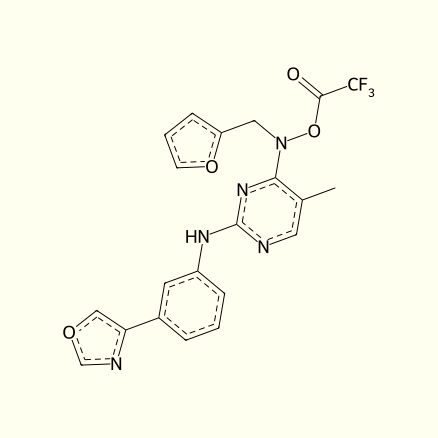 Cc1cnc(Nc2cccc(-c3cocn3)c2)nc1N(Cc1ccco1)OC(=O)C(F)(F)F